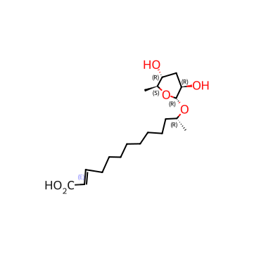 C[C@H](CCCCCCCC/C=C/C(=O)O)O[C@@H]1O[C@@H](C)[C@H](O)C[C@H]1O